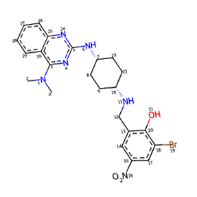 CN(C)c1nc(N[C@H]2CC[C@@H](NCc3cc([N+](=O)[O-])cc(Br)c3O)CC2)nc2ccccc12